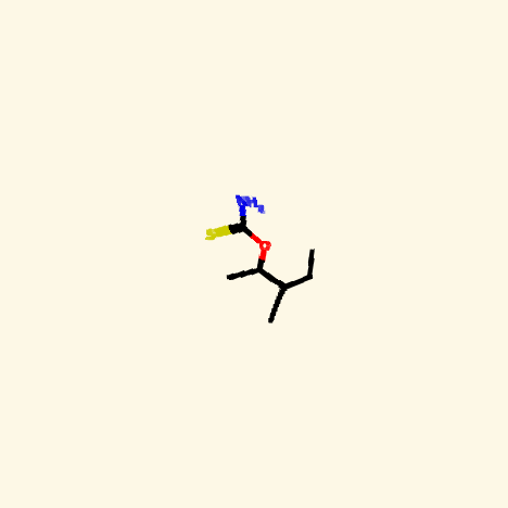 CCC(C)C(C)OC(N)=S